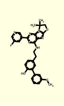 COc1cccc(-c2cc(CCNc3nc(-c4cncc(F)c4)nc4c3nc3n4C(C)(C)CO3)ccc2O)c1